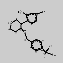 Cc1cc(F)ccc1C1CNCCC1OCc1ccc(C(F)(F)F)cc1